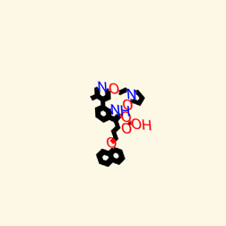 Cc1cnc(OCCN2CCCC2=O)cc1-c1cccc2c(CCCOc3cccc4ccccc34)c(OC(=O)O)[nH]c12